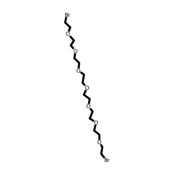 BrCCOCCOCCOCCOCCOCCOCCOCCBr